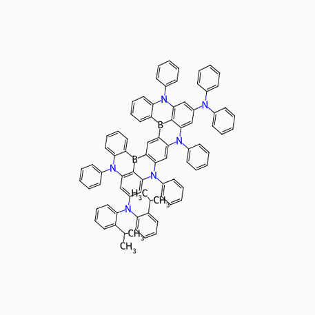 CC(C)c1ccccc1N(c1cc2c3c(c1)N(c1ccccc1)c1cc4c(cc1B3c1ccccc1N2c1ccccc1)B1c2ccccc2N(c2ccccc2)c2cc(N(c3ccccc3)c3ccccc3)cc(c21)N4c1ccccc1)c1ccccc1C(C)C